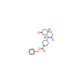 O=C1CC[C@@H]2OCC(=O)N(C3CCN(C(=O)OCc4ccccc4)CC3)[C@H]2C1